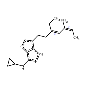 C/C=C(N)\C=C(/CC)CCc1csc2c(NC3CC3)n[pH]c12